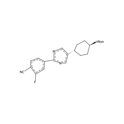 CCCCCCCCC[C@H]1CC[C@H](c2cnc(-c3ccc(C#N)c(F)c3)nc2)CC1